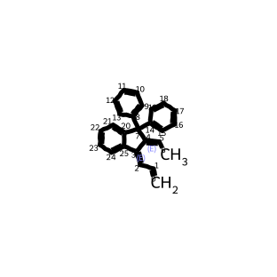 C=C/C=C1\C(=C/C)C(c2ccccc2)(c2ccccc2)c2ccccc21